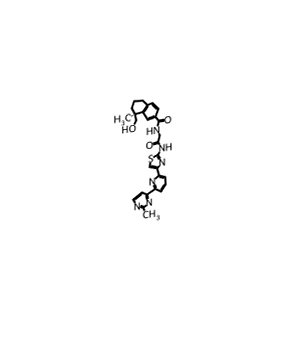 Cc1nccc(-c2cccc(-c3csc(NC(=O)CNC(=O)c4ccc5c(c4)[C@@](C)(CO)CCC5)n3)n2)n1